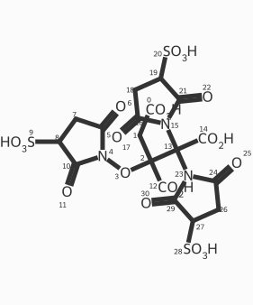 O=C(O)CC(ON1C(=O)CC(S(=O)(=O)O)C1=O)(C(=O)O)C(C(=O)O)(N1C(=O)CC(S(=O)(=O)O)C1=O)N1C(=O)CC(S(=O)(=O)O)C1=O